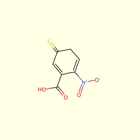 O=C(O)C1=CC(=S)CC=C1[N+](=O)[O-]